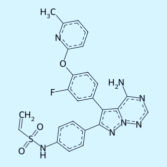 C=CS(=O)(=O)Nc1ccc(-c2nn3ncnc(N)c3c2-c2ccc(Oc3cccc(C)n3)c(F)c2)cc1